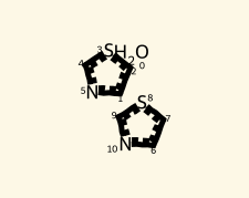 O.c1cscn1.c1cscn1